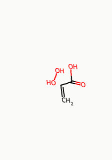 C=CC(=O)O.OO